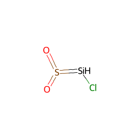 O=S(=O)=[SiH]Cl